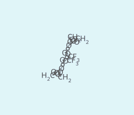 C=CC(=O)OCC(COc1ccc(C(=O)Oc2ccc(OC(=O)c3ccc(OCC(COC(=O)C=C)OC(=O)C=C)cc3)c(C(F)(F)F)c2C(F)(F)F)cc1)OC(=O)C=C